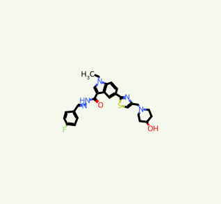 CCn1cc(C(=O)NN=Cc2ccc(F)cc2)c2cc(-c3nc(CN4CCC(O)CC4)cs3)ccc21